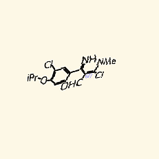 CN/C(Cl)=C(/C=O)C(=N)c1ccc(OC(C)C)c(Cl)c1